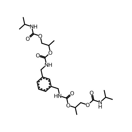 CC(C)NC(=O)OCC(C)OC(=O)NCc1cccc(CNC(=O)OC(C)COC(=O)NC(C)C)c1